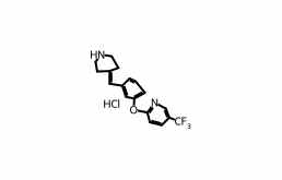 Cl.FC(F)(F)c1ccc(Oc2cccc(C=C3CCNCC3)c2)nc1